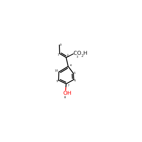 CC=C(C(=O)O)c1ccc(O)cc1